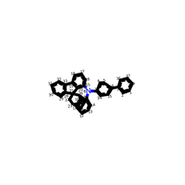 c1ccc(-c2ccc(N(c3ccccc3)c3cccc4c3C3(CC5CCC3C5)c3ccccc3-4)cc2)cc1